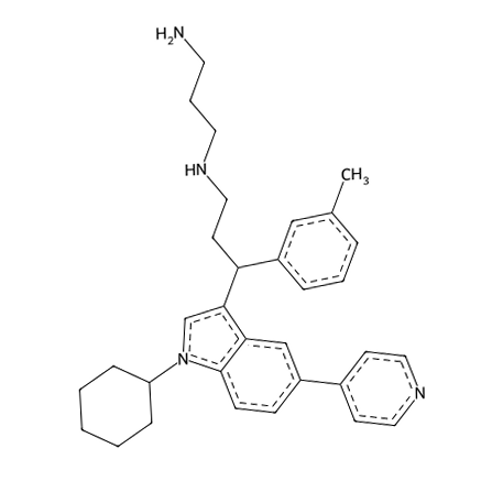 Cc1cccc(C(CCNCCCN)c2cn(C3CCCCC3)c3ccc(-c4ccncc4)cc23)c1